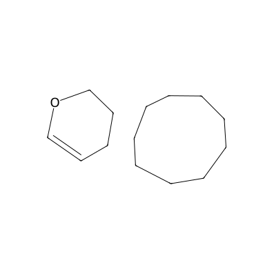 C1=COCCC1.C1CCCCCCCC1